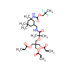 C=CC(=O)OCC(COC(=O)C=C)(COC(=O)C=C)COC(C)(C)C(=O)NCC1CC(C)(C)CC(C)(NC(=O)OCC(C)(F)F)C1